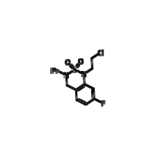 CC(C)N1Cc2ccc(F)cc2N(CCCl)S1(=O)=O